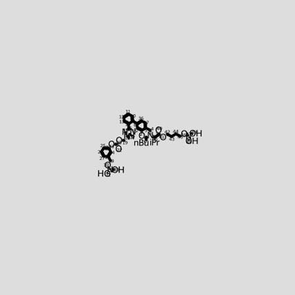 CCCCC(=O)N(Cc1ccc(-c2ccccc2-c2nnn(COC(=O)Oc3cccc(CON(O)O)c3)n2)cc1)[C@H](C(=O)OCCCCON(O)O)C(C)C